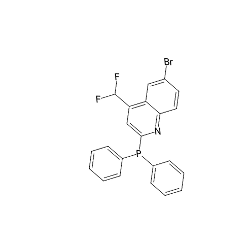 FC(F)c1cc(P(c2ccccc2)c2ccccc2)nc2ccc(Br)cc12